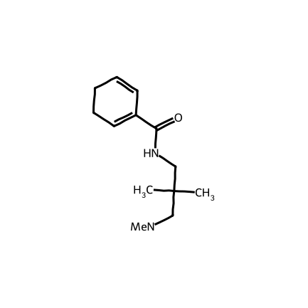 CNCC(C)(C)CNC(=O)C1=CCCC=C1